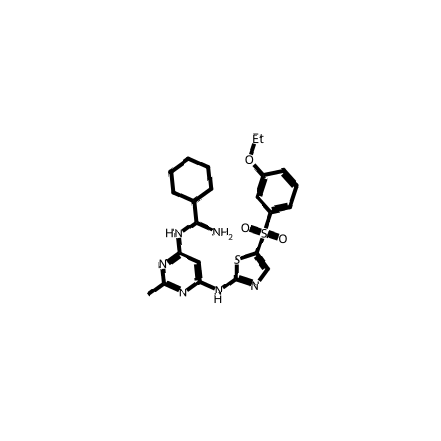 CCOc1cccc(S(=O)(=O)c2cnc(Nc3cc(NC(N)C4CCCCC4)nc(C)n3)s2)c1